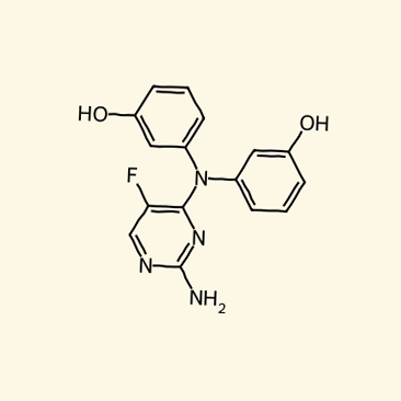 Nc1ncc(F)c(N(c2cccc(O)c2)c2cccc(O)c2)n1